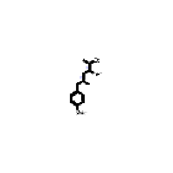 CCCC(/C=C(\C)Cc1ccc(SC)cc1)=C(/C)CC